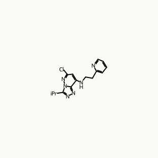 CC(C)c1nnc2c(NCCc3ccccn3)cc(Cl)nn12